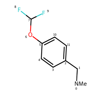 CNCc1ccc(OC(F)F)cc1